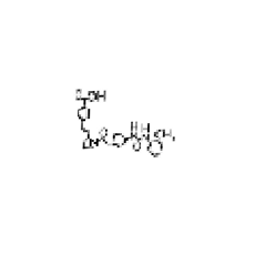 Cc1ccccc1NC(=O)Nc1ccc(CC(=O)N2CCCC2C=Cc2ccc(C(=O)O)cc2)cc1